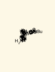 CC(C)(C)OC(=O)N1CCC(SC[C@H]2O[C@@H](n3cnc4c(N)ncnc43)C3OC(C)(C)O[C@H]32)CC1